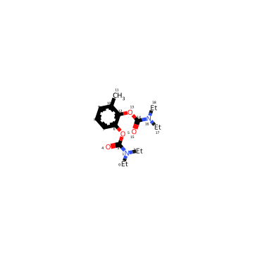 CCN(CC)C(=O)Oc1cccc(C)c1OC(=O)N(CC)CC